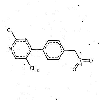 Cc1cnc(Cl)nc1-c1ccc(C[SH](=O)=O)cc1